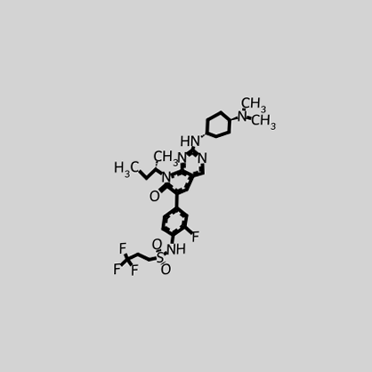 CC[C@H](C)n1c(=O)c(-c2ccc(NS(=O)(=O)CCC(F)(F)F)c(F)c2)cc2cnc(N[C@H]3CC[C@H](N(C)C)CC3)nc21